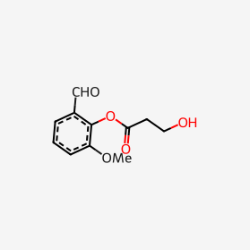 COc1cccc(C=O)c1OC(=O)CCO